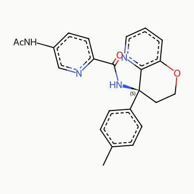 CC(=O)Nc1ccc(C(=O)N[C@]2(c3ccc(C)cc3)CCOc3cccnc32)nc1